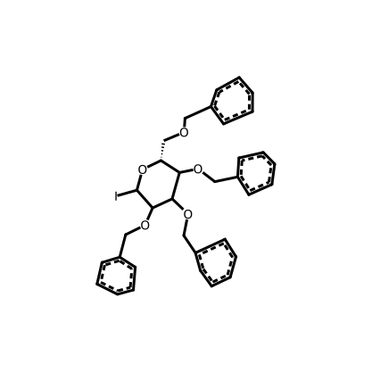 IC1O[C@H](COCc2ccccc2)C(OCc2ccccc2)C(OCc2ccccc2)C1OCc1ccccc1